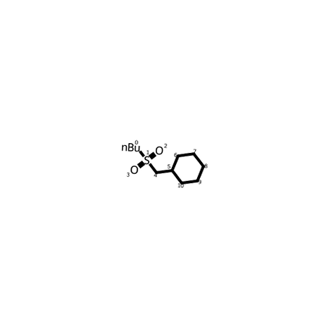 CCCCS(=O)(=O)CC1CCCCC1